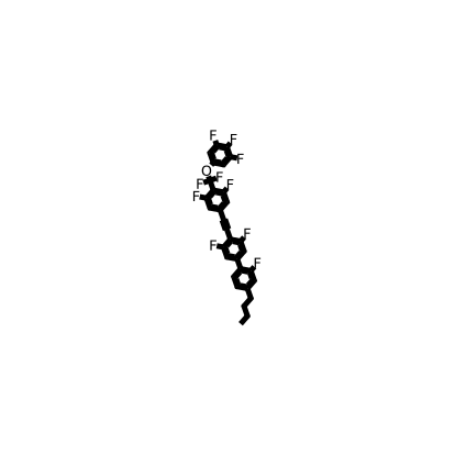 CCCCc1ccc(-c2cc(F)c(C#Cc3cc(F)c(C(F)(F)Oc4cc(F)c(F)c(F)c4)c(F)c3)c(F)c2)c(F)c1